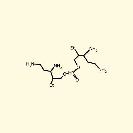 CCC(CO[PH](=O)OCC(CC)C(N)CCN)C(N)CCN